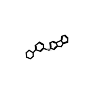 c1cc(Nc2ccc3c(c2)Cc2ccccc2-3)cc(C2CCCCC2)c1